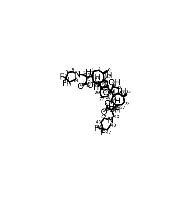 C=C1CC[C@H]2C(CN3CCC(F)(F)CC3)C(=O)O[C@@H]2[C@@H]2[C@H]1C[C@@]1(O)[C@]2(O)CCC[C@]12C(O)C[C@H]1C(=C)CC[C@H]3C(CN4CCC(F)(F)CC4)C(=O)O[C@@H]3[C@H]12